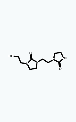 O=C1NCCN1CCN1CCN(CCO)C1=O